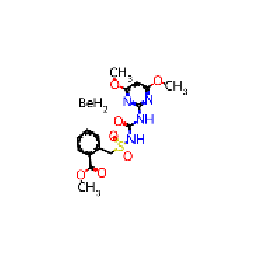 COC(=O)c1ccccc1CS(=O)(=O)NC(=O)Nc1nc(OC)cc(OC)n1.[BeH2]